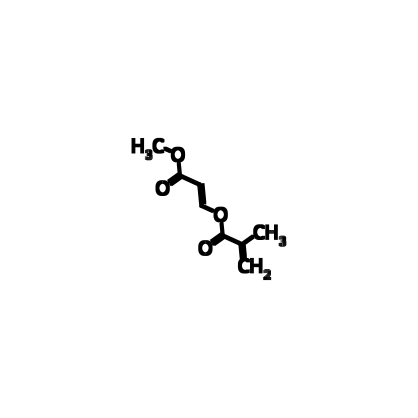 C=C(C)C(=O)OC=CC(=O)OC